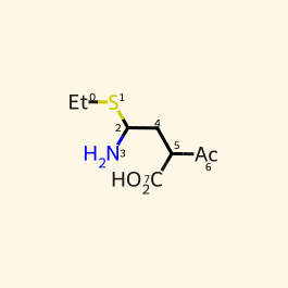 CCSC(N)CC(C(C)=O)C(=O)O